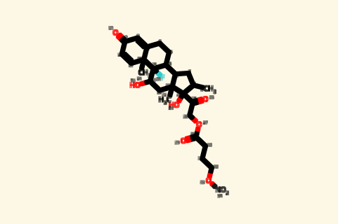 CC1CC2C3CCC4=CC(=O)C=CC4(C)C3(F)C(O)CC2(C)C1(O)C(=O)COC(=O)CCCO[N+](=O)[O-]